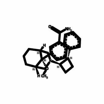 CO[C@@]1(c2ccnc(C(N)=O)c2)[C@@H]2CCC[C@H]1CN([C@@H]1CC[C@H]1c1ccccc1)C2